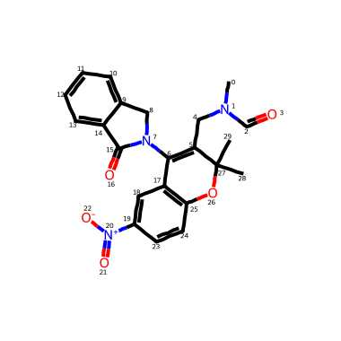 CN(C=O)CC1=C(N2Cc3ccccc3C2=O)c2cc([N+](=O)[O-])ccc2OC1(C)C